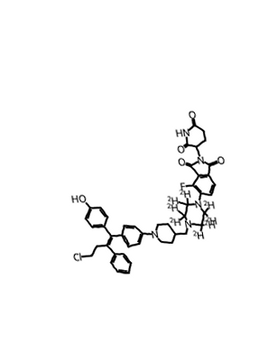 [2H]C1([2H])N(CC2CCN(c3ccc(C(=C(CCCl)c4ccccc4)c4ccc(O)cc4)cc3)CC2)C([2H])([2H])C([2H])([2H])N(c2ccc3c(c2F)C(=O)N(C2CCC(=O)NC2=O)C3=O)C1([2H])[2H]